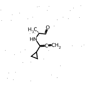 C=C=C(N[C@H](C)C=O)C1CC1